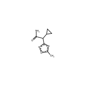 Cc1nc(C(C(N)=O)C2CC2)no1